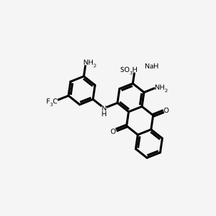 Nc1cc(Nc2cc(S(=O)(=O)O)c(N)c3c2C(=O)c2ccccc2C3=O)cc(C(F)(F)F)c1.[NaH]